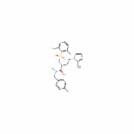 Cc1ccc(CN(C)C(=O)C(CCn2cccc2C#N)NS(=O)(=O)c2c(C)cccc2Cl)cc1